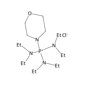 CCN(CC)[P+](N(CC)CC)(N(CC)CC)N1CCOCC1.[Cl-]